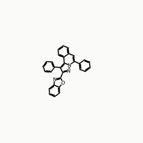 c1ccc(-c2c(-c3nc4ccccc4o3)nn3c(-c4ccccc4)cc4ccccc4c23)cc1